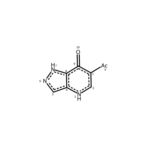 CC(=O)c1c[nH]c2cn[nH]c2c1=O